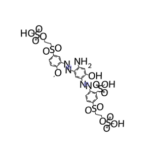 COc1ccc(S(=O)(=O)CCOS(=O)(=O)O)cc1/N=N/c1cc(/N=N/c2ccc(S(=O)(=O)CCOS(=O)(=O)O)cc2S(=O)(=O)O)c(O)cc1N